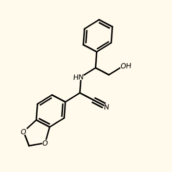 N#CC(NC(CO)c1ccccc1)c1ccc2c(c1)OCO2